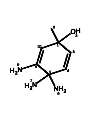 CC1(O)C=CC(N)(N)C(N)=C1